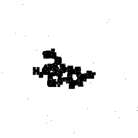 C[C@@H](O)[N+]1(C(=O)OC(C)(C)C)Cc2ccc(Br)cc2C1